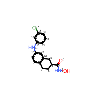 O=C(NO)C1CCc2ccc(Nc3cccc(Cl)c3)cc2C1